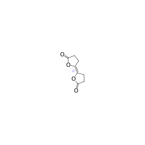 O=C1CC/C(=C2\CCC(=O)O2)O1